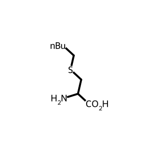 CCCCCSCC(N)C(=O)O